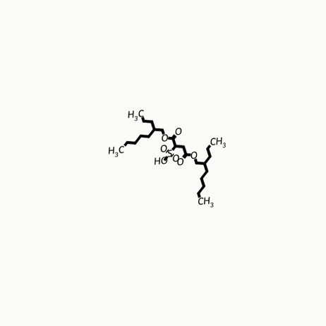 CCCCCC(CCC)COC(=O)CC(C(=O)OCC(CCC)CCCCC)S(=O)(=O)O